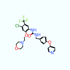 O=C(NCc1ccc(Oc2ccncc2)cc1)Nc1cc(C(F)(F)F)c(Cl)cc1OCCN1CCOCC1